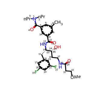 CCCN(CCC)C(=O)c1cc(C)cc(C(=O)N[C@@H](Cc2cc(F)cc(F)c2)[C@H](O)CCNC(=O)CCOC)c1